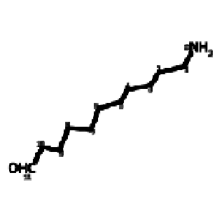 NCCCCCCCCCCC=O